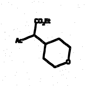 CCOC(=O)C(C(C)=O)C1CCOCC1